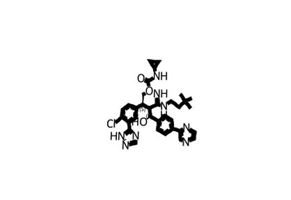 CC(C)(C)CCNC(=N)C([C@H](COC(=O)NC1CC1)c1ccc(Cl)c(-c2ncn[nH]2)c1)[C@@H](O)c1ccc(-c2cnccn2)cc1